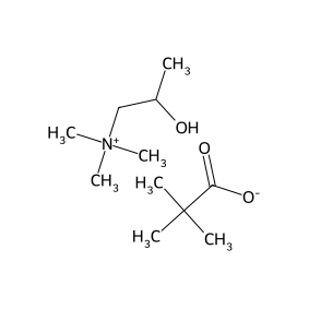 CC(C)(C)C(=O)[O-].CC(O)C[N+](C)(C)C